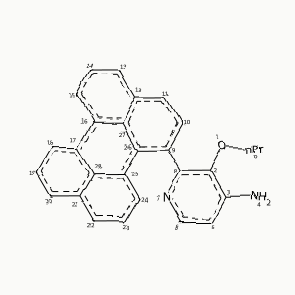 CCCOc1c(N)ccnc1-c1ccc2cccc3c4cccc5cccc(c1c23)c54